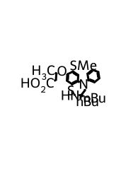 CCCCC1(CCCC)CN(c2ccccc2)c2cc(SC)c(OC(C)CC(=O)O)cc2SN1